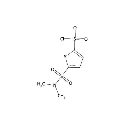 CN(C)S(=O)(=O)c1ccc(S(=O)(=O)Cl)s1